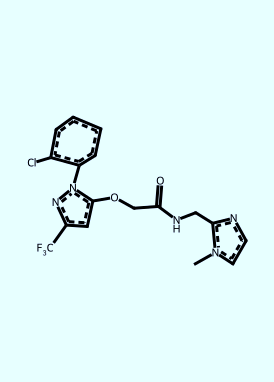 Cn1ccnc1CNC(=O)COc1cc(C(F)(F)F)nn1-c1ccccc1Cl